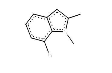 Cc1cc2cccc(Br)c2n1C